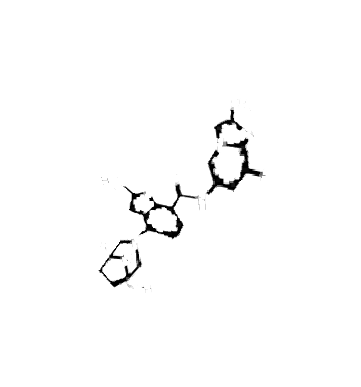 Cc1cn2cc(NC(=O)c3ccc(N4C[C@H]5CC[C@@H](C4)N5)c4cc(C)oc34)cc(F)c2n1